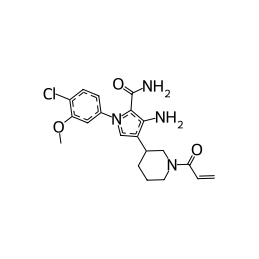 C=CC(=O)N1CCCC(c2cn(-c3ccc(Cl)c(OC)c3)c(C(N)=O)c2N)C1